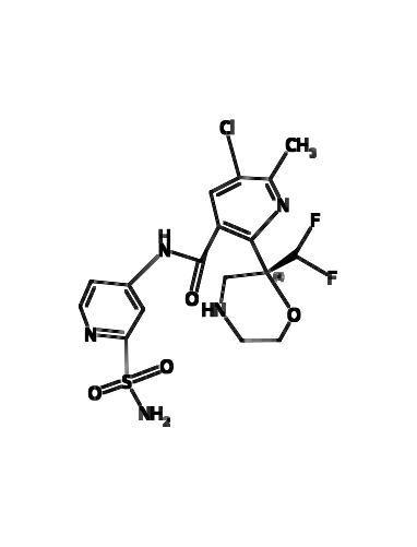 Cc1nc([C@@]2(C(F)F)CNCCO2)c(C(=O)Nc2ccnc(S(N)(=O)=O)c2)cc1Cl